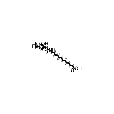 O=C(O)CCCCCCCCCCCCNC(=O)Nc1cnc(C(F)(F)F)nc1